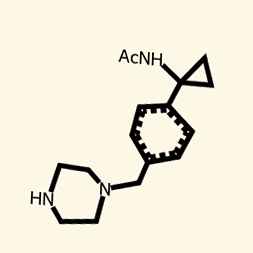 CC(=O)NC1(c2ccc(CN3CCNCC3)cc2)CC1